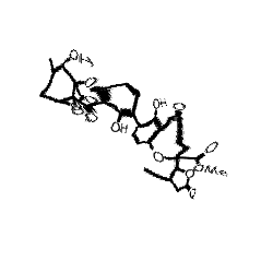 COC(=O)C1(C2OC(=O)CC2C)CC(=O)c2c(ccc(-c3ccc4c(c3O)C(=O)C3(O)C5CC(C)C(O)C3(O4)C(=O)O5)c2O)O1